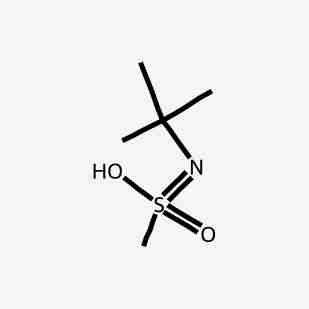 CC(C)(C)N=S(C)(=O)O